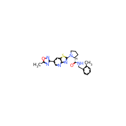 Cc1nc(-c2cnc3nc(N4CCC[C@@H]4C(=O)NCc4ccccc4C)sc3c2)no1